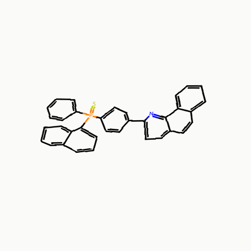 S=P(c1ccccc1)(c1ccc(-c2ccc3ccc4ccccc4c3n2)cc1)c1cccc2ccccc12